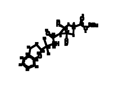 CC(C)(C)OC(=O)N1C[C@@H]2[C@H](C1)[C@H]2C(=O)NC(C)(C)C1CCc2ccccc2O1